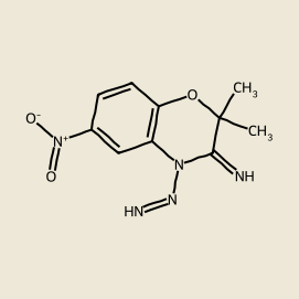 CC1(C)Oc2ccc([N+](=O)[O-])cc2N(N=N)C1=N